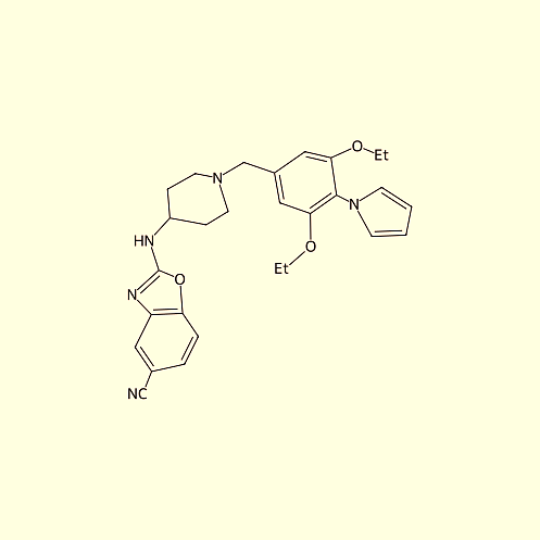 CCOc1cc(CN2CCC(Nc3nc4cc(C#N)ccc4o3)CC2)cc(OCC)c1-n1cccc1